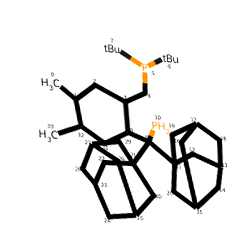 CC1CC(CP(C(C)(C)C)C(C)(C)C)C(C(P)(C23CC4CC(CC(C4)C2)C3)C23CC4CC(CC(C4)C2)C3)CC1C